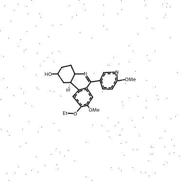 CCOc1cc2c(cc1OC)C(c1ccc(OC)nc1)=NC1CCC(O)C[C@H]21